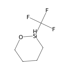 FC(F)(F)[SiH]1CCCCO1